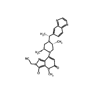 C[C@@H]1CN(c2cc(=O)n(C)c3c(Cl)n(CC#N)nc23)[C@@H](C)CN1[C@H](C)c1ccc2nccnc2c1